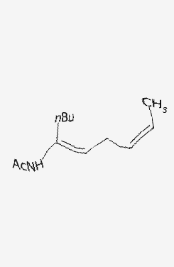 C/C=C\C/C=C(\CCCC)NC(C)=O